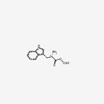 N[C@@H](Cc1c[nH]c2ccccc12)C(=O)O[C]=O